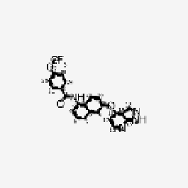 O=C(Nc1cccc2cc(Oc3ccnc4[nH]ncc34)ccc12)c1ccc(OC(F)(F)F)cc1